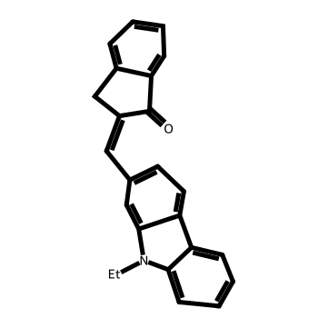 CCn1c2ccccc2c2ccc(/C=C3/Cc4ccccc4C3=O)cc21